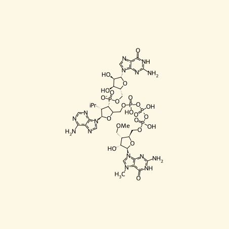 COC[C@H]1[C@@H](O)[C@H](n2c[n+](C)c3c(=O)[nH]c(N)nc32)O[C@@H]1COP(=O)(O)OP(=O)(O)OP(=O)(O)OCC1O[C@@H](n2cnc3c(N)ncnc32)[C@H](C(C)C)[C@@H]1P(=O)([O-])OC[C@H]1O[C@@H](n2cnc3c(=O)[nH]c(N)nc32)[C@H](O)[C@@H]1O